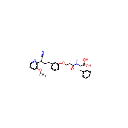 COc1cccnc1C(C#N)CCc1cccc(OCCC(=O)N[C@@H](Cc2ccccc2)B(O)O)c1